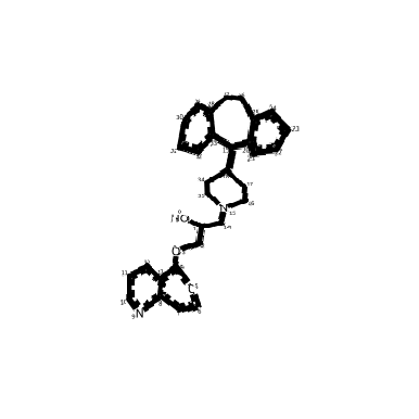 OC(COc1cccc2ncccc12)CN1CCC(=C2c3ccccc3CCc3ccccc32)CC1